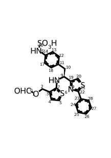 O=COCc1ccsc1N[C@@H](Cc1ccc(NS(=O)(=O)O)cc1)c1csc(-c2ccccc2)n1